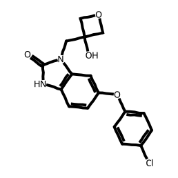 O=c1[nH]c2ccc(Oc3ccc(Cl)cc3)cc2n1CC1(O)COC1